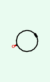 O=C1CCCCCCC#CCCCCCCC1